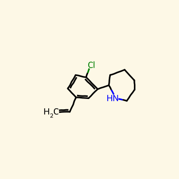 C=Cc1ccc(Cl)c(C2CCCCCN2)c1